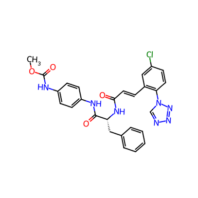 COC(=O)Nc1ccc(NC(=O)[C@@H](Cc2ccccc2)NC(=O)/C=C/c2cc(Cl)ccc2-n2cnnn2)cc1